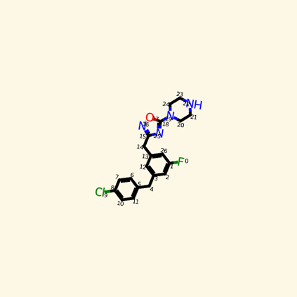 Fc1cc(Cc2ccc(Cl)cc2)cc(Cc2noc(N3CCNCC3)n2)c1